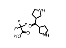 O=C(C1CCNC1)C1CCNC1.O=C(O)C(F)(F)F